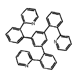 c1ccc(-c2ccccc2-c2cc(-c3ccccc3-c3ccccn3)cc(-c3ccccc3-c3ccccn3)c2)nc1